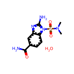 CN(C)S(=O)(=O)n1c(N)nc2cc(C(N)=O)ccc21.O